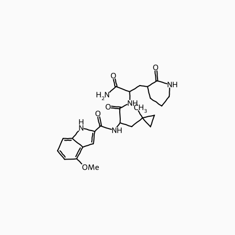 COc1cccc2[nH]c(C(=O)NC(CC3(C)CC3)C(=O)NC(CC3CCCNC3=O)C(N)=O)cc12